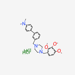 COc1ccc(CN2CCN(Cc3cccc(-c4ccc(N(C)C)cc4)c3)CC2)c(OC)c1OC.Cl.Cl